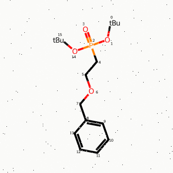 CC(C)(C)OP(=O)(CCOCc1ccccc1)OC(C)(C)C